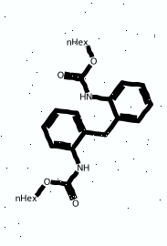 CCCCCCOC(=O)Nc1ccccc1Cc1ccccc1NC(=O)OCCCCCC